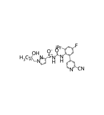 CC(C)c1cc(F)cc(-c2ccnc(C#N)c2)c1NC(=O)N[S+]([O-])c1ccn(C[C@@H](C)O)n1